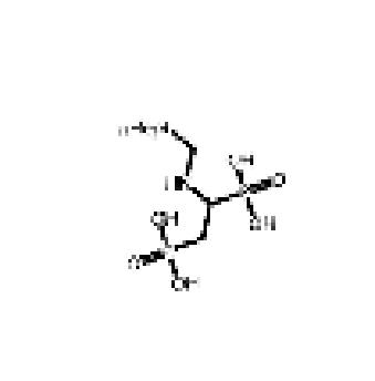 CCCCCCCCNC(CP(=O)(O)O)P(=O)(O)O